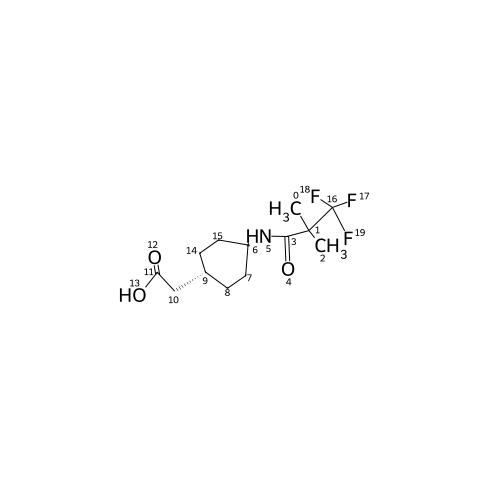 CC(C)(C(=O)N[C@H]1CC[C@H](CC(=O)O)CC1)C(F)(F)F